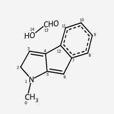 CN1CC=C2C1=Cc1ccccc12.O=CO